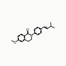 COc1ccc2c(c1)CCN(c1ccc(/C=C/C(C)C)cc1)C2=O